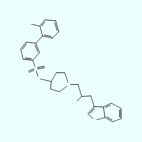 Nc1ccccc1-c1cccc(S(=O)(=O)NC2CCN(CC(O)Cc3coc4ccccc34)CC2)c1